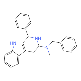 CN(Cc1ccccc1)C1Cc2c([nH]c3ccccc23)C(c2ccccc2)N1